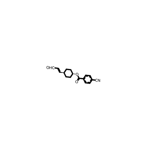 N#Cc1ccc(C(=O)O[C@H]2CC[C@H](C=CC=O)CC2)cc1